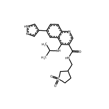 CC(C)Nc1c(C(=O)NCC2CCS(=O)(=O)C2)cnc2ccc(-c3cn[nH]c3)cc12